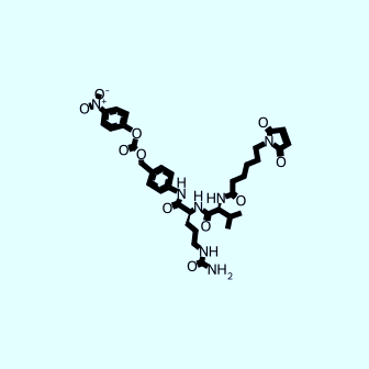 CC(C)[C@H](NC(=O)CCCCCN1C(=O)C=CC1=O)C(=O)N[C@@H](CCCNC(N)=O)C(=O)Nc1ccc(COC(=O)Oc2ccc([N+](=O)[O-])cc2)cc1